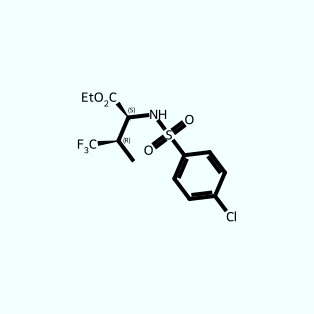 CCOC(=O)[C@@H](NS(=O)(=O)c1ccc(Cl)cc1)[C@@H](C)C(F)(F)F